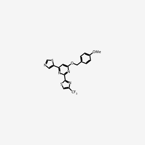 COc1ccc(COc2cc(-c3cncs3)nc(-c3nc(C(F)(F)F)cs3)n2)cc1